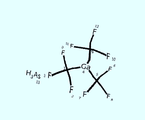 F[C](F)(F)[Ga]([C](F)(F)F)[C](F)(F)F.[AsH3]